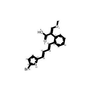 CO/C=C(/C(=O)O)c1ccccc1C=C/C=C/c1ccc(Br)s1